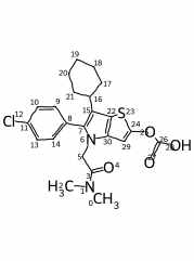 CN(C)C(=O)Cn1c(-c2ccc(Cl)cc2)c(C2CCCCC2)c2sc(OC(=O)O)cc21